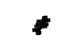 OC(c1c[nH]c2ncccc12)[C@@H](O)[C@@H](O)[C@H](O)[C@H](O)Cc1c[nH]c2ncccc12